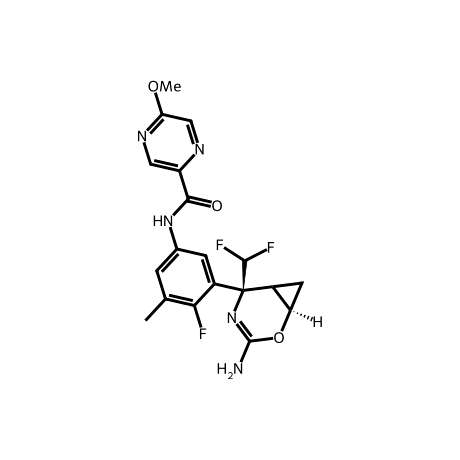 COc1cnc(C(=O)Nc2cc(C)c(F)c([C@@]3(C(F)F)N=C(N)O[C@@H]4CC43)c2)cn1